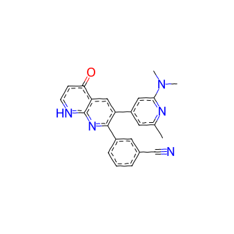 Cc1cc(-c2cc3c(=O)cc[nH]c3nc2-c2cccc(C#N)c2)cc(N(C)C)n1